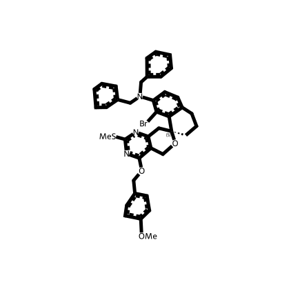 COc1ccc(COc2nc(SC)nc3c2CO[C@@]2(CCCc4ccc(N(Cc5ccccc5)Cc5ccccc5)c(Br)c42)C3)cc1